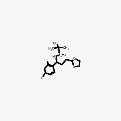 CC(C)(C)[S@@+]([O-])NC(CCC1OCCO1)C1=C(F)CC(F)C=C1